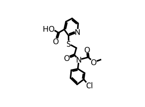 COC(=O)N(C(=O)CSc1ncccc1C(=O)O)c1cccc(Cl)c1